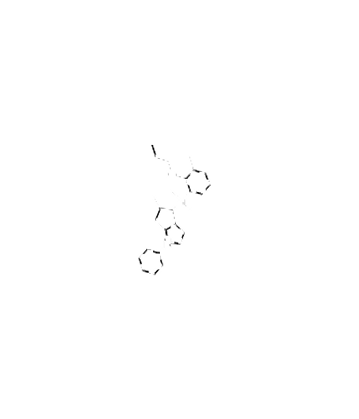 C=CCOc1c(C)cccc1[Si](C)(C)C1C(C)=Cc2c1ccn2-c1ccccc1